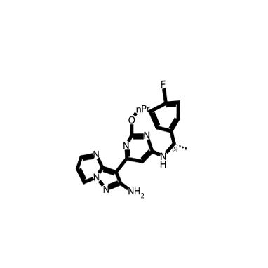 CCCOc1nc(N[C@@H](C)c2ccc(F)cc2)cc(-c2c(N)nn3cccnc23)n1